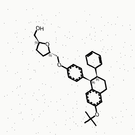 CC(C)(C)Oc1ccc2c(c1)CC[C@H](C1C=CC=CC1)[C@@H]2c1ccc(OC[C@@H]2CC[C@@H](CO)O2)cc1